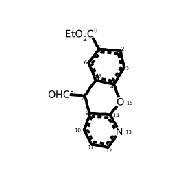 CCOC(=O)c1ccc2c(c1)C(C=O)c1cccnc1O2